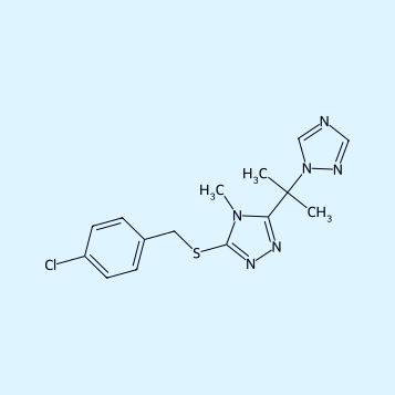 Cn1c(SCc2ccc(Cl)cc2)nnc1C(C)(C)n1cncn1